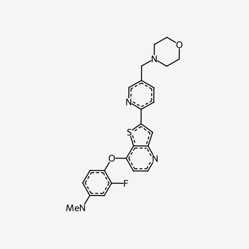 CNc1ccc(Oc2ccnc3cc(-c4ccc(CN5CCOCC5)cn4)sc23)c(F)c1